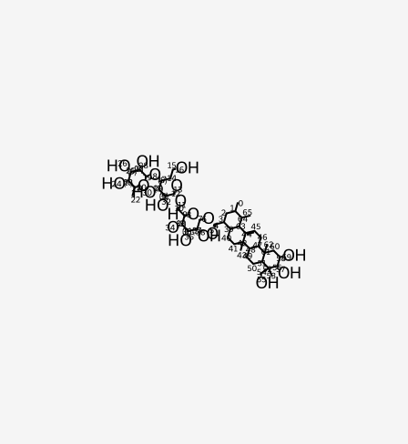 CC1CC(C(=O)OC2OC(COC3OC(CO)[C@@H](OC4OC(C)[C@H](O)[C@H](O)[C@@H]4O)[C@@H](O)[C@@H]3O)[C@@H](O)[C@@H](O)[C@@H]2O)C2CCC3(C)C(=CCC4C3CCC3C(C)(CO)C(O)C(O)CC43C)C2C1C